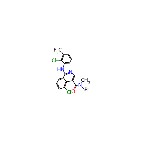 CC(C)N(C)C(=O)c1cnc(Nc2cccc(C(F)(F)F)c2Cl)c2cccc(Cl)c12